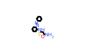 NC(=O)CC(=S)Nc1ccccc1N=Nc1ccccc1